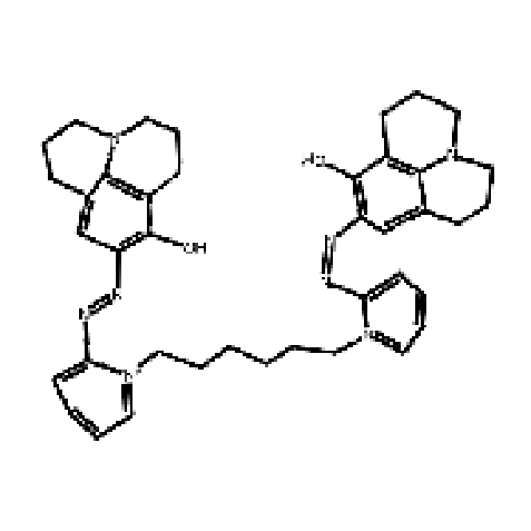 Oc1c(N=Nc2cccc[n+]2CCCCCC[n+]2ccccc2N=Nc2cc3c4c(c2O)CCCN4CCC3)cc2c3c1CCCN3CCC2